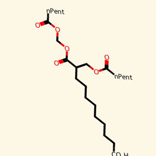 CCCCCC(=O)OCOC(=O)C(CCCCCCCCC(=O)O)COC(=O)CCCCC